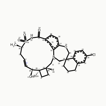 C[C@@H]1C/C=C/[C@H](O)[C@@H]2CC[C@H]2CN2C[C@@]3(CCCc4cc(Cl)ccc43)COc3ccc(cc32)C(=O)NS1(=O)=O